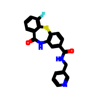 O=C(NCc1cccnc1)c1ccc2c(c1)NC(=O)c1cccc(F)c1S2